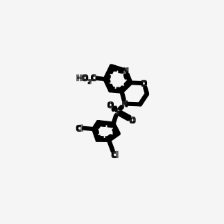 O=C(O)c1cnc2c(c1)N(S(=O)(=O)c1cc(Cl)cc(Cl)c1)CCO2